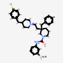 COc1cccc(NC(=O)N2CCCC(CCN3CCC(Cc4ccc(F)cc4)CC3)(Cc3ccccc3)C2)c1